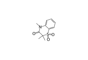 CN1C(=O)C(C)(C)S(=O)(=O)c2ccccc21